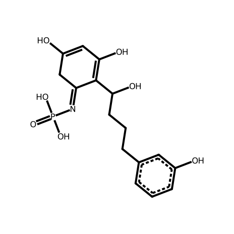 O=P(O)(O)N=C1CC(O)=CC(O)=C1C(O)CCCc1cccc(O)c1